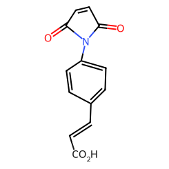 O=C(O)C=Cc1ccc(N2C(=O)C=CC2=O)cc1